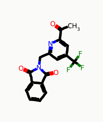 CC(=O)c1cc(C(F)(F)F)cc(CN2C(=O)c3ccccc3C2=O)n1